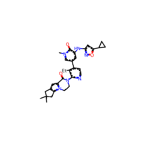 CCc1c(-c2cc(Nc3cc(C4CC4)on3)c(=O)n(C)c2)ccnc1N1CCn2c(cc3c2CC(C)(C)C3)C1=O